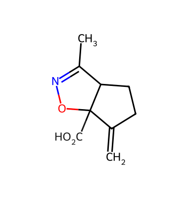 C=C1CCC2C(C)=NOC12C(=O)O